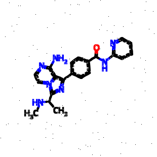 CNC(C)c1nc(-c2ccc(C(=O)Nc3ccccn3)cc2)c2c(N)nccn12